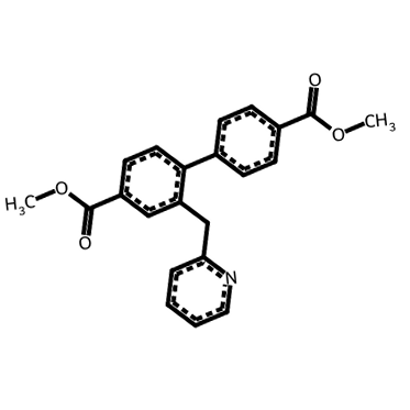 COC(=O)c1ccc(-c2ccc(C(=O)OC)cc2Cc2ccccn2)cc1